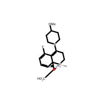 COC1CCN(C2=C3C(F)=CC=CC34C(=O)C(C(=O)O)=CC[N@+]4(C)CC2)CC1